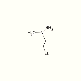 BN(C)CCCC